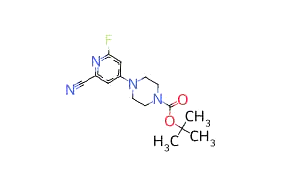 CC(C)(C)OC(=O)N1CCN(c2cc(F)nc(C#N)c2)CC1